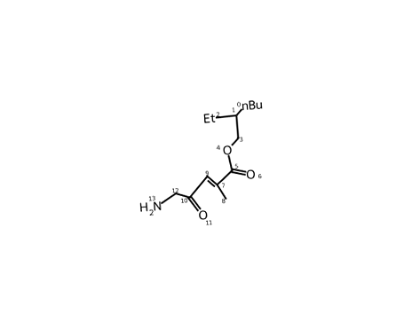 CCCCC(CC)COC(=O)C(C)=CC(=O)CN